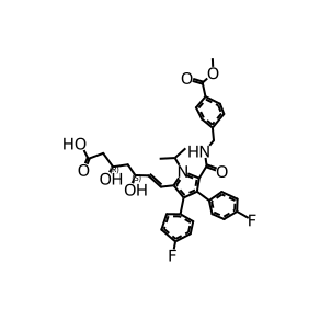 COC(=O)c1ccc(CNC(=O)c2c(-c3ccc(F)cc3)c(-c3ccc(F)cc3)c(C=C[C@@H](O)C[C@@H](O)CC(=O)O)n2C(C)C)cc1